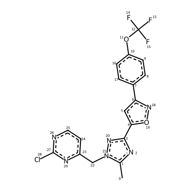 Cc1nc(-c2cc(-c3ccc(OC(F)(F)F)cc3)no2)nn1Cc1ccnc(Cl)n1